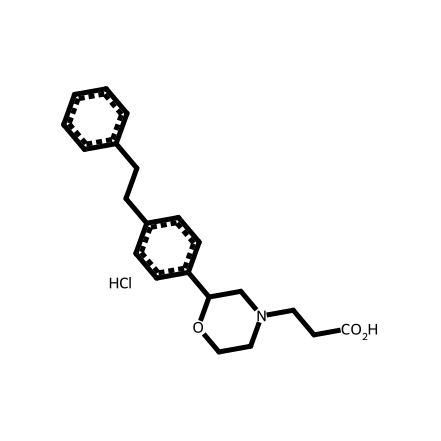 Cl.O=C(O)CCN1CCOC(c2ccc(CCc3ccccc3)cc2)C1